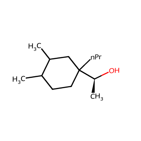 CCCC1([C@H](C)O)CCC(C)C(C)C1